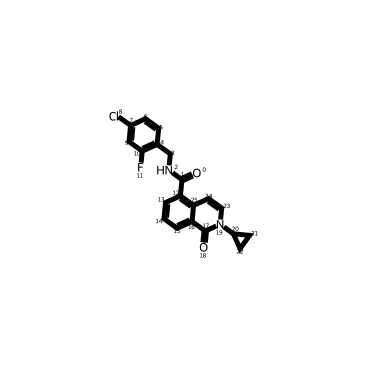 O=C(NCc1ccc(Cl)cc1F)c1cccc2c(=O)n(C3CC3)ccc12